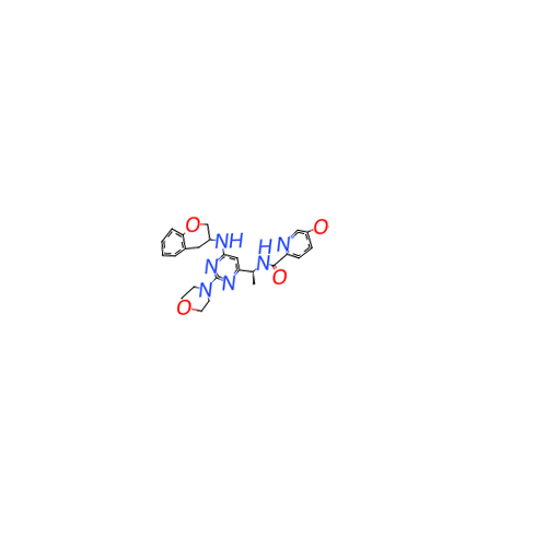 COc1ccc(C(=O)N[C@@H](C)c2cc(NC3COc4ccccc4C3)nc(N3CCOCC3)n2)nc1